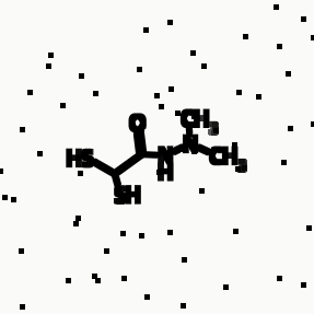 CN(C)NC(=O)C(S)S